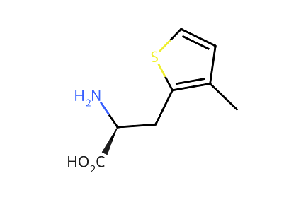 Cc1ccsc1C[C@H](N)C(=O)O